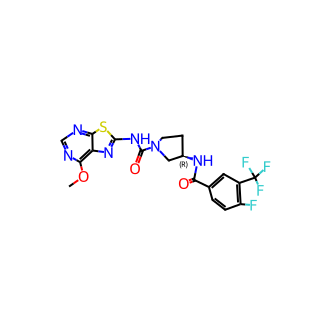 COc1ncnc2sc(NC(=O)N3CC[C@@H](NC(=O)c4ccc(F)c(C(F)(F)F)c4)C3)nc12